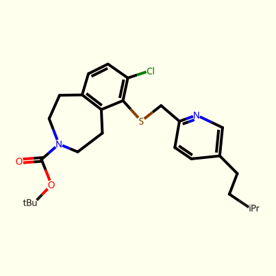 CC(C)CCc1ccc(CSc2c(Cl)ccc3c2CCN(C(=O)OC(C)(C)C)CC3)nc1